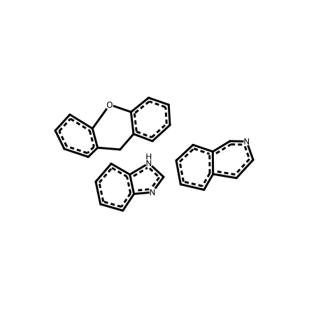 c1ccc2[nH]cnc2c1.c1ccc2c(c1)Cc1ccccc1O2.c1ccc2cnccc2c1